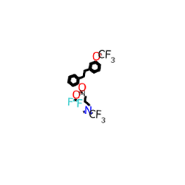 CN(CCC[C@@H](Oc1ccccc1CCc1cccc(OC(F)(F)F)c1)OC(F)F)C(F)(F)F